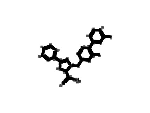 Cc1cc(-c2ncc(CN3C=C(c4cnccn4)SC3C(N)=O)cc2C)ccn1